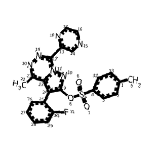 Cc1ccc(S(=O)(=O)Oc2nn3c(-c4cnccn4)nnc(C)c3c2-c2ccccc2F)cc1